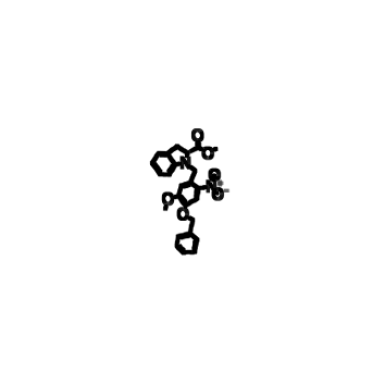 COC(=O)[C@@H]1Cc2ccccc2N1Cc1cc(OC)c(OCc2ccccc2)cc1[N+](=O)[O-]